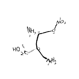 N.N[C@@H](CO[N+](=O)[O-])C(=O)O